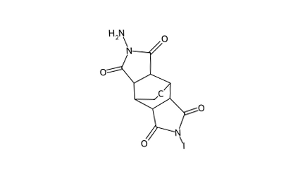 NN1C(=O)C2C3CCC(C2C1=O)C1C(=O)N(I)C(=O)C31